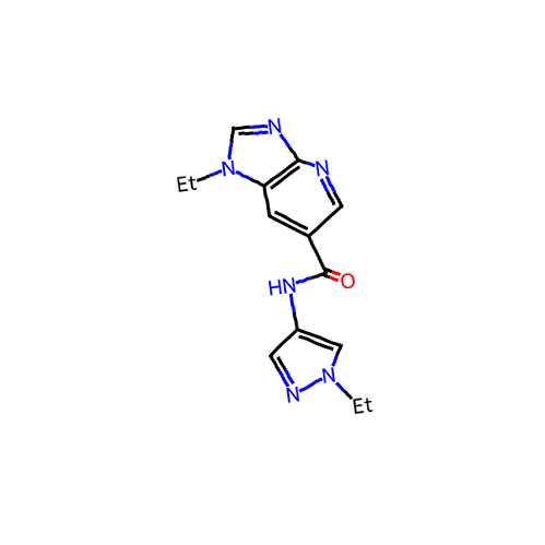 CCn1cc(NC(=O)c2cnc3ncn(CC)c3c2)cn1